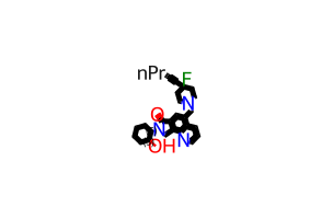 CCCC#CC1(F)CCN(Cc2cc3c(c4ncccc24)CN([C@H]2CCCC[C@@H]2O)C3=O)CC1